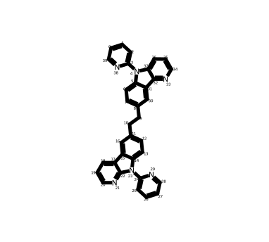 c1ccc(-n2c3ccc(CCc4ccc5c(c4)c4cccnc4n5-c4ccccn4)cc3c3ncccc32)nc1